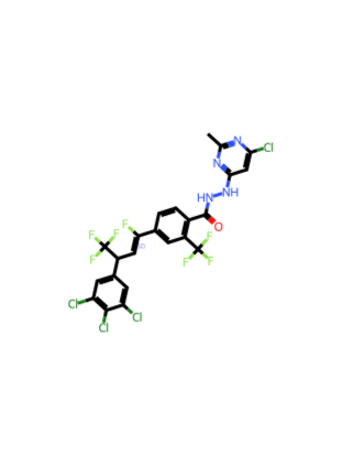 Cc1nc(Cl)cc(NNC(=O)c2ccc(/C(F)=C/C(c3cc(Cl)c(Cl)c(Cl)c3)C(F)(F)F)cc2C(F)(F)F)n1